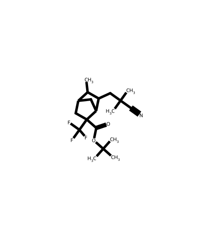 CC1C2CC(C1CC(C)(C)C#N)C(C(=O)OC(C)(C)C)(C(F)(F)F)C2